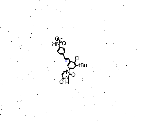 CC(C)(C)c1cc(-n2ccc(=O)[nH]c2=O)cc(/C=C/c2ccc(NS(C)(=O)=O)cc2)c1Cl